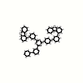 c1ccc(-c2cccc(-c3nc(-c4ccc(-c5cccc(-c6cccc7oc8ccccc8c67)c5)cc4)nc(-c4cccc(-c5cccc6oc7ccccc7c56)c4)n3)c2)cc1